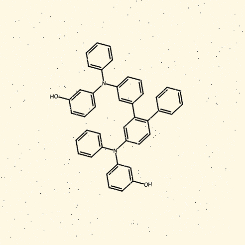 Oc1cccc(N(c2ccccc2)c2cccc(-c3cc(N(c4ccccc4)c4cccc(O)c4)ccc3-c3ccccc3)c2)c1